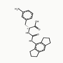 Nc1cccc(C[C@@H](NC(=O)Nc2c3c(cc4c2CCC4)CCC3)C(=O)O)c1